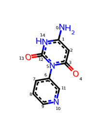 Nc1cc(=O)n(-c2cccnc2)c(=O)[nH]1